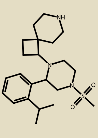 CC(C)c1ccccc1C1CN(S(C)(=O)=O)CCN1C1CCC12CCNCC2